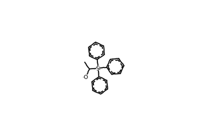 CC([O])[Si](c1ccccc1)(c1ccccc1)c1ccccc1